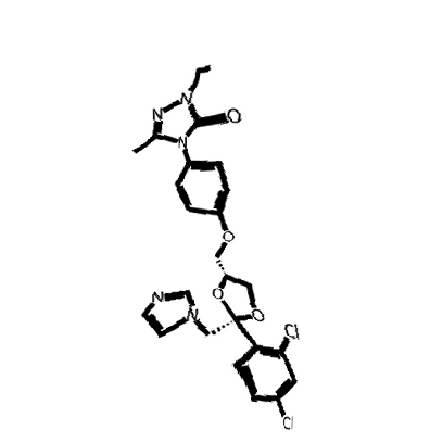 CCn1nc(C)n(-c2ccc(OC[C@@H]3CO[C@@](Cn4ccnc4)(c4ccc(Cl)cc4Cl)O3)cc2)c1=O